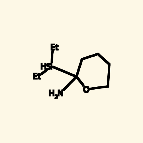 CC[SiH](CC)C1(N)CCCCO1